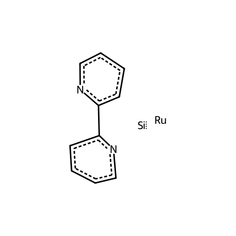 [Ru].[Si].c1ccc(-c2ccccn2)nc1